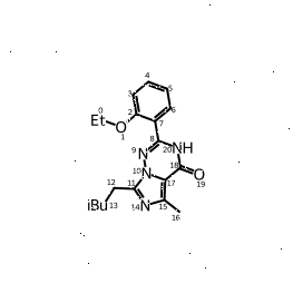 CCOc1ccccc1-c1nn2c(CC(C)CC)nc(C)c2c(=O)[nH]1